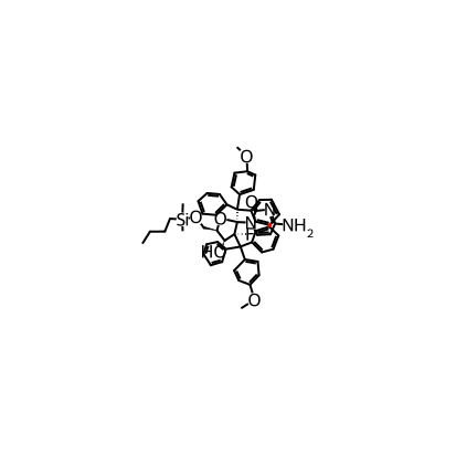 CCCC[Si](C)(C)OC[C@H]1O[C@](n2ccc(N)nc2=O)(C(c2ccccc2)(c2ccccc2)c2ccc(OC)cc2)[C@@](F)(C(c2ccccc2)(c2ccccc2)c2ccc(OC)cc2)[C@@H]1O